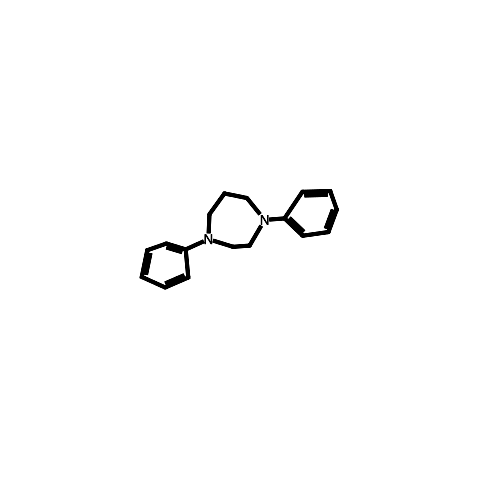 c1ccc(N2CCCN(c3ccccc3)CC2)cc1